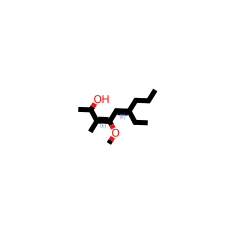 CCC/C(=C/C(OC)=C(/C)C(C)O)CC